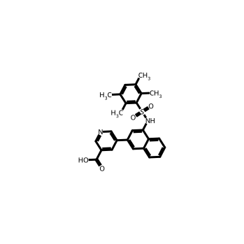 Cc1cc(C)c(C)c(S(=O)(=O)Nc2cc(-c3cncc(C(=O)O)c3)cc3ccccc23)c1C